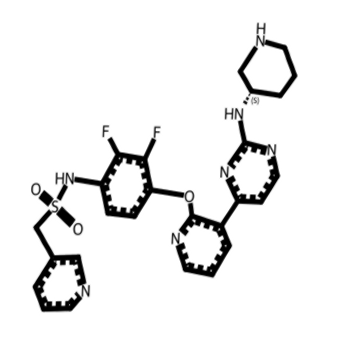 O=S(=O)(Cc1cccnc1)Nc1ccc(Oc2ncccc2-c2ccnc(N[C@H]3CCCNC3)n2)c(F)c1F